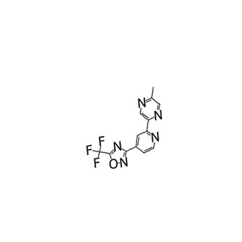 Cc1cnc(-c2cc(-c3noc(C(F)(F)F)n3)ccn2)cn1